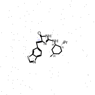 CC(C)[C@@H]1CC[C@@H](C)C[C@H]1NC1=N/C(=C\c2ccc3ncsc3c2)C(=O)N1